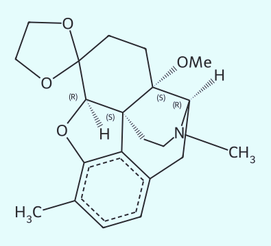 CO[C@@]12CCC3(OCCO3)[C@@H]3Oc4c(C)ccc5c4[C@@]31CCN(C)[C@@H]2C5